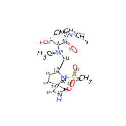 C[C@@H](O)[C@@H](C(=O)N(C)C)N(C)CC1CCC2(CNC2=O)N1S(C)(=O)=O